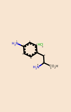 Cl.Nc1ccc(CC(N)C(=O)O)cc1